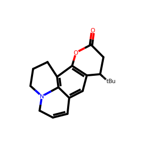 CC(C)(C)C1CC(=O)Oc2c1cc1c3c2CCCN3CC=C1